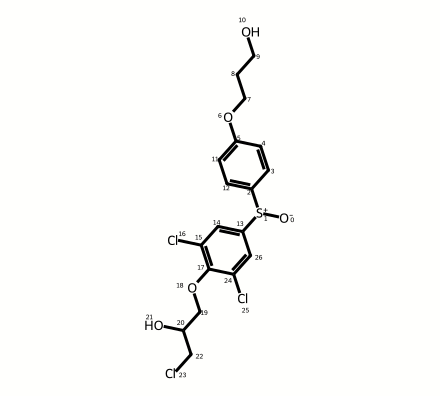 [O-][S+](c1ccc(OCCCO)cc1)c1cc(Cl)c(OCC(O)CCl)c(Cl)c1